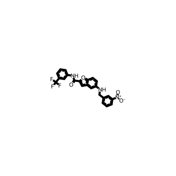 O=C(Nc1cccc(C(F)(F)F)c1)c1cc2cc(NCc3cccc([N+](=O)[O-])c3)ccc2o1